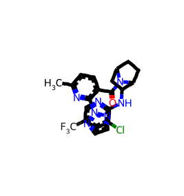 Cc1ccc(C(=O)N2C3CCC2C(Nc2ncc(C(F)(F)F)cc2Cl)C3)c(-n2nccn2)n1